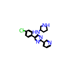 Clc1ccc(-c2cnc(-c3cccnc3)nc2NC2CCCNC2)cc1